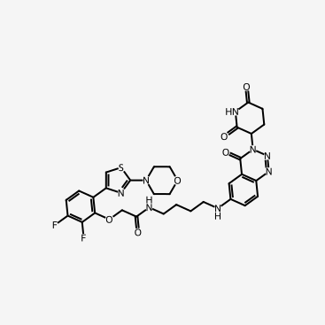 O=C(COc1c(-c2csc(N3CCOCC3)n2)ccc(F)c1F)NCCCCNc1ccc2nnn(C3CCC(=O)NC3=O)c(=O)c2c1